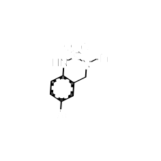 CC(=O)c1ccc2c(c1)CN(C(C)C)S(=O)(=O)N2